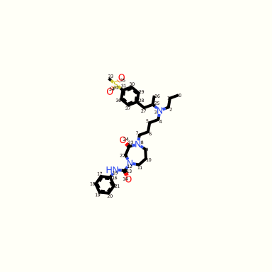 CCCN(CCCCN1CCCN(C(=O)Nc2ccccc2)CC1=O)C(C)Cc1ccc(S(C)(=O)=O)cc1